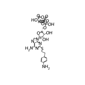 Nc1ccc(CCSc2nc(N)c3ncn([C@@H]4O[C@H](COP(=O)(O)OP(=O)(O)OP(=O)(O)O)C(O)C4O)c3n2)cc1